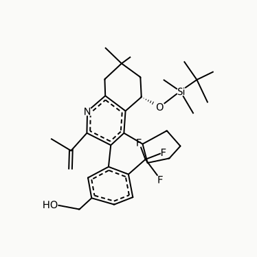 C=C(C)c1nc2c(c(C3CCCC3)c1-c1cc(CO)ccc1C(F)(F)F)[C@@H](O[Si](C)(C)C(C)(C)C)CC(C)(C)C2